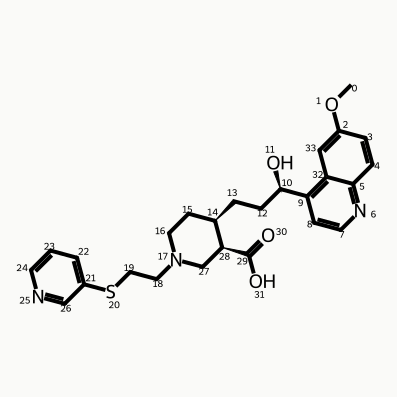 COc1ccc2nccc([C@H](O)CC[C@@H]3CCN(CCSc4cccnc4)C[C@@H]3C(=O)O)c2c1